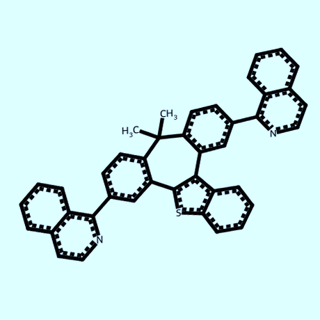 CC1(C)c2ccc(-c3nccc4ccccc34)cc2-c2sc3ccccc3c2-c2cc(-c3nccc4ccccc34)ccc21